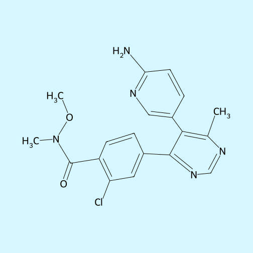 CON(C)C(=O)c1ccc(-c2ncnc(C)c2-c2ccc(N)nc2)cc1Cl